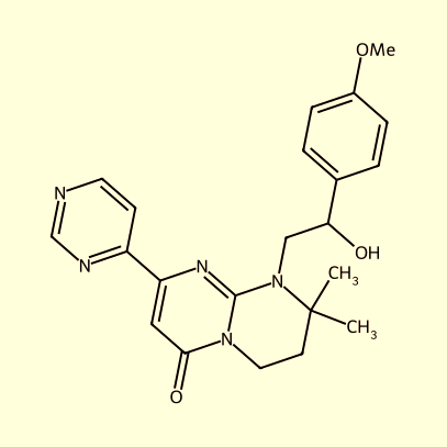 COc1ccc(C(O)CN2c3nc(-c4ccncn4)cc(=O)n3CCC2(C)C)cc1